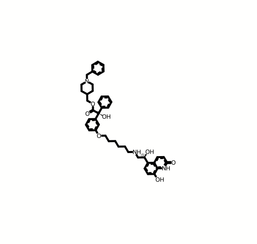 O=C(OCC1CCN(Cc2ccccc2)CC1)[C@@](O)(c1ccccc1)c1cccc(OCCCCCCNC[C@@H](O)c2ccc(O)c3[nH]c(=O)ccc23)c1